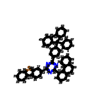 c1ccc(C2(c3ccc(-c4nc(-c5ccc6c(c5)sc5ccccc56)nc(-c5cccc6ccc7ccccc7c56)n4)cc3)c3ccccc3-c3ccccc32)cc1